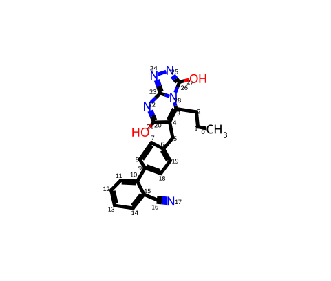 CCCc1c(Cc2ccc(-c3ccccc3C#N)cc2)c(O)nc2nnc(O)n12